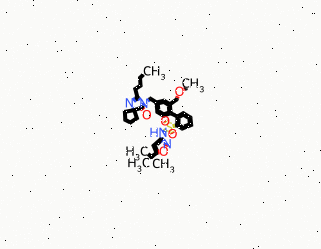 CCCCC1=NC2(CCCC2)C(=O)N1Cc1ccc(-c2ccccc2S(=O)(=O)Nc2cc(C(C)(C)C)on2)c(COCC)c1